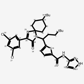 CC(C)(C)CCC(c1ccc(C(=O)Nc2nn[nH]n2)s1)N1C(=O)C(c2cc(Cl)cc(Cl)c2)=NC12CCC(C(C)(C)C)CC2